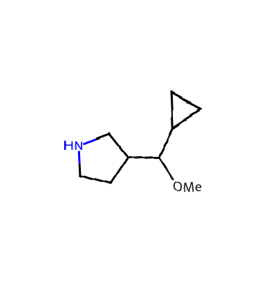 COC(C1CC1)C1CCNC1